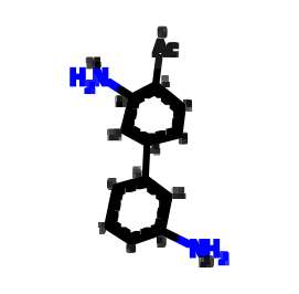 CC(=O)c1ccc(-c2cccc(N)c2)cc1N